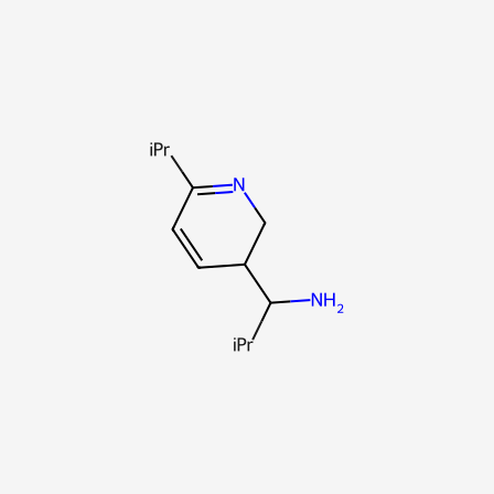 CC(C)C1=NCC(C(N)C(C)C)C=C1